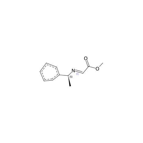 COC(=O)/C=N/[C@@H](C)c1ccccc1